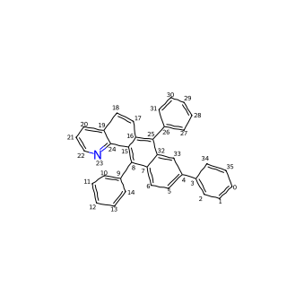 c1ccc(-c2ccc3c(-c4ccccc4)c4c(ccc5cccnc54)c(-c4ccccc4)c3c2)cc1